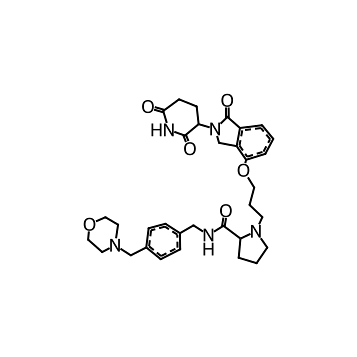 O=C1CCC(N2Cc3c(OCCCN4CCCC4C(=O)NCc4ccc(CN5CCOCC5)cc4)cccc3C2=O)C(=O)N1